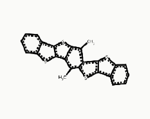 Cc1c2sc3c4ccccc4sc3c2c(C)c2sc3c4ccccc4sc3c12